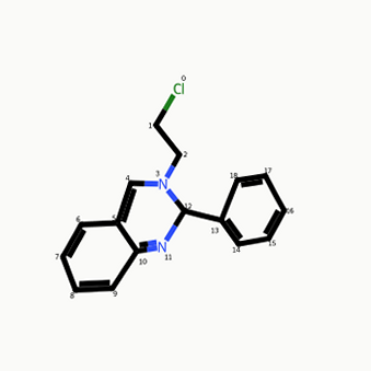 ClCCN1C=c2ccccc2=NC1c1ccccc1